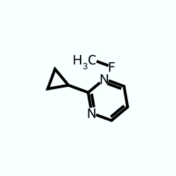 CF.c1cnc(C2CC2)nc1